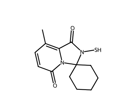 Cc1ccc(=O)n2c1C(=O)N(S)C21CCCCC1